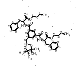 CCCCOC(=O)C(Cc1ccccc1)NC(=O)c1cc(CB2OC(C)(C)C(C)(C)O2)cc(C(=O)NC(Cc2ccccc2)C(=O)OCCCC)c1